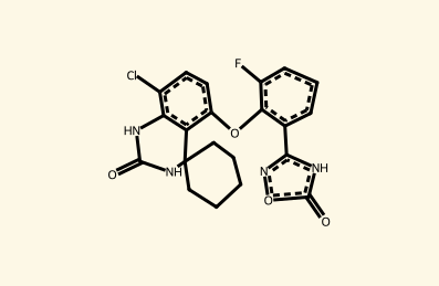 O=C1Nc2c(Cl)ccc(Oc3c(F)cccc3-c3noc(=O)[nH]3)c2C2(CCCCC2)N1